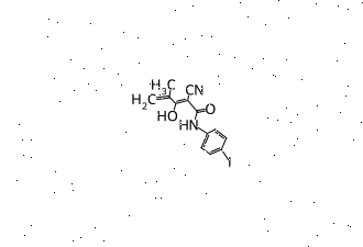 C=C(C)C(O)=C(C#N)C(=O)Nc1ccc(I)cc1